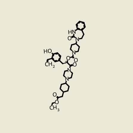 C=Cc1cc(C[C@@H](OC(=O)N2CCC(N3CCc4ccccc4NC3=O)CC2)C(=O)N2CCN(C3CCC(CC(=O)OCC)CC3)CC2)ccc1O